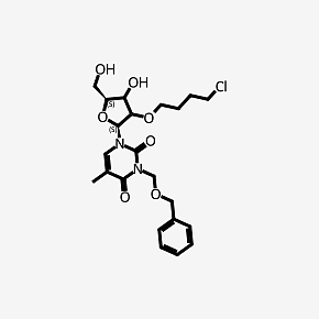 Cc1cn([C@H]2O[C@@H](CO)C(O)C2OCCCCCl)c(=O)n(COCc2ccccc2)c1=O